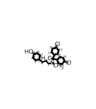 CN(CCCc1ccc(O)cc1)C(C)(c1ccc(Cl)cc1)c1ccc(Cl)cc1